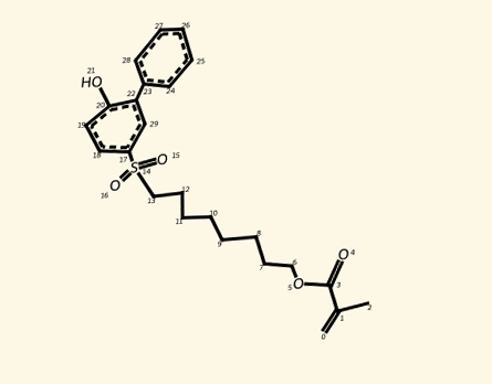 C=C(C)C(=O)OCCCCCCCCS(=O)(=O)c1ccc(O)c(-c2ccccc2)c1